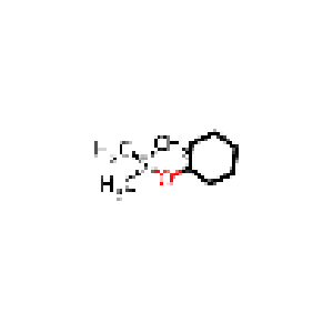 C[Si](C)(C)OC1CCCCC1